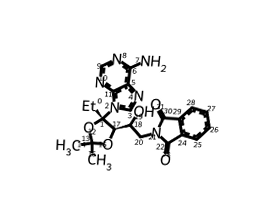 CC[C@]1(n2cnc3c(N)ncnc32)OC(C)(C)O[C@@H]1C(O)CN1C(=O)c2ccccc2C1=O